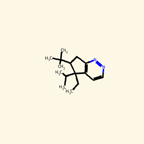 CCC1(C(C)C)c2ccnnc2CC1C(C)(C)C